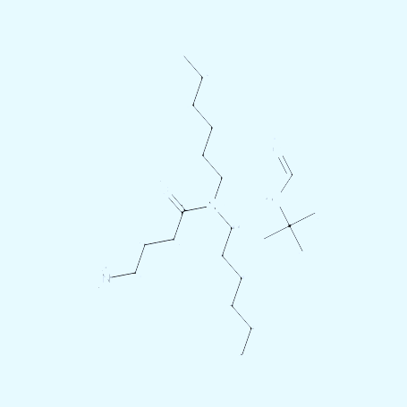 CC(C)(C)OC=O.CCCCCCN(CCCCCC)C(=O)CCCN